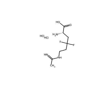 CC(=N)NCCC(F)(F)C[C@H](N)C(=O)O.Cl.Cl